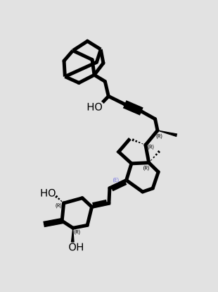 C=C1[C@H](O)CC(=C/C=C2\CCC[C@@]3(C)C2CC[C@@H]3[C@H](C)CC#CC(O)CC23CC4CC(CC(C4)C2)C3)C[C@H]1O